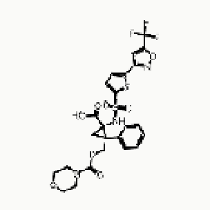 O=C(OC[C@@]1(c2ccccc2)C[C@]1(NS(=O)(=O)c1ccc(-c2cc(C(F)(F)F)on2)s1)C(=O)O)N1CCOCC1